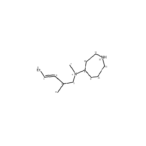 CCC=CC(C)CN(C)C1CCCNCC1